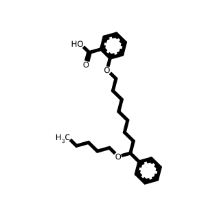 CCCCCOC(CCCCCCCOc1ccccc1C(=O)O)c1ccccc1